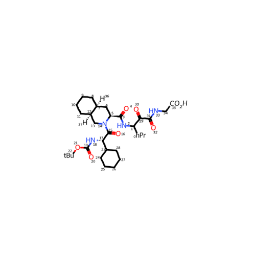 CCCC(NC(=O)[C@@H]1C[C@@H]2CCCC[C@@H]2CN1C(=O)[C@@H](NC(=O)OC(C)(C)C)C1CCCCC1)C(=O)C(=O)NCC(=O)O